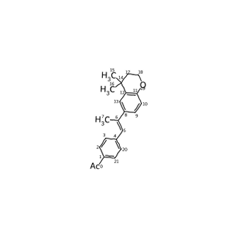 CC(=O)c1ccc(C=C(C)c2ccc3c(c2)C(C)(C)CCO3)cc1